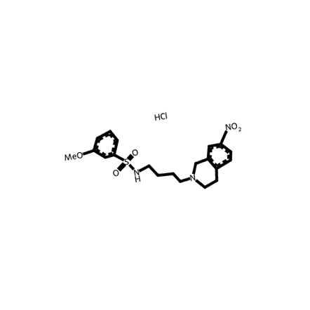 COc1cccc(S(=O)(=O)NCCCCN2CCc3ccc([N+](=O)[O-])cc3C2)c1.Cl